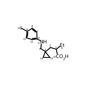 CCC(CC1(CNc2ccc(I)cc2)CC1)C(=O)O